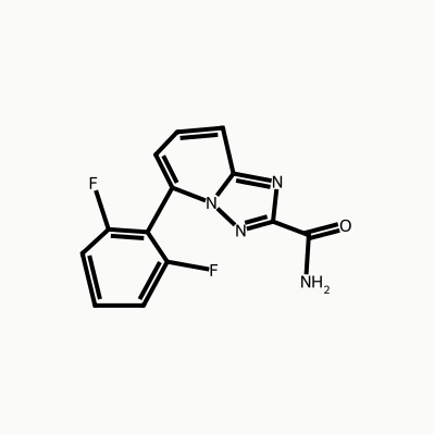 NC(=O)c1nc2cccc(-c3c(F)cccc3F)n2n1